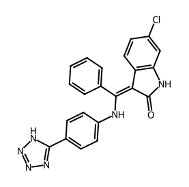 O=C1Nc2cc(Cl)ccc2/C1=C(/Nc1ccc(-c2nnn[nH]2)cc1)c1ccccc1